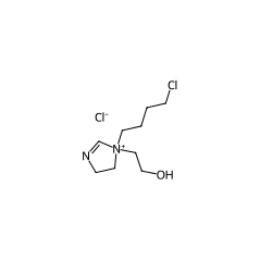 OCC[N+]1(CCCCCl)C=NCC1.[Cl-]